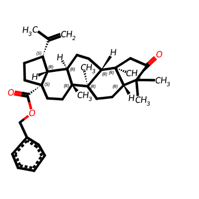 C=C(C)[C@H]1CC[C@]2(C(=O)OCc3ccccc3)CC[C@]3(C)[C@H](CC[C@@H]4[C@@]5(C)CC(=O)C(C)(C)[C@@H]5CC[C@]43C)[C@@H]12